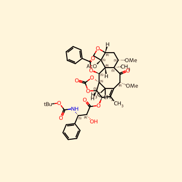 CO[C@H]1C(=O)[C@]2(C)[C@@H](OC)C[C@H]3OC[C@@]3(OC(C)=O)[C@H]2[C@H](OC(=O)c2ccccc2)[C@]23OC(=O)O[C@H]2[C@H](OC(=O)[C@H](O)[C@@H](NC(=O)OC(C)(C)C)c2ccccc2)C(C)=C1C3(C)C